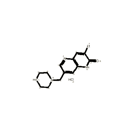 CCc1cc2ncc(CN3CCNCC3)cc2[nH]c1=O.Cl